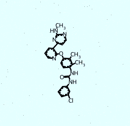 CNc1nccc(-c2cccnc2Oc2ccc(NC(=O)Nc3cccc(Cl)c3)c(C)c2C)n1